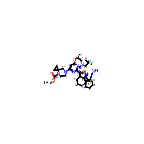 C[C@H](Oc1cc(N2CCN(C(=O)OC(C)(C)C)C3(CC3)C2)nc(-c2onc3c2CCC[C@@]32CCCc3sc(N)c(C#N)c32)n1)[C@@H]1C[C@@H](F)CN1C